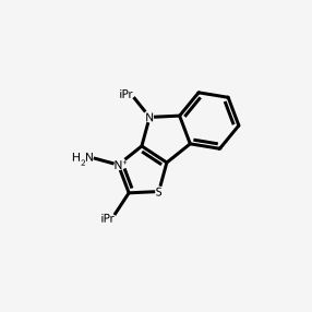 CC(C)c1sc2c3ccccc3n(C(C)C)c2[n+]1N